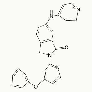 O=C1c2cc(Nc3ccncc3)ccc2CN1c1cc(Oc2ccccc2)ccn1